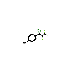 N#Cc1ccc(C(Cl)C(F)C(F)F)cc1